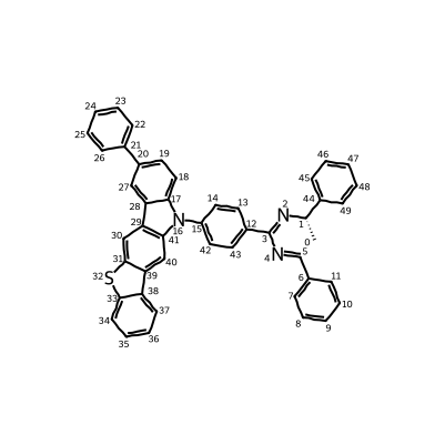 C[C@H](/N=C(\N=C\c1ccccc1)c1ccc(-n2c3ccc(-c4ccccc4)cc3c3cc4sc5ccccc5c4cc32)cc1)c1ccccc1